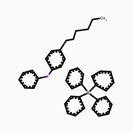 CCCCCCc1ccc([I+]c2ccccc2)cc1.c1ccc([B-](c2ccccc2)(c2ccccc2)c2ccccc2)cc1